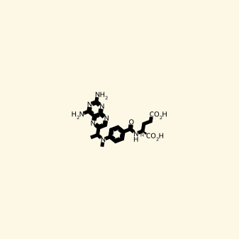 CC(c1cnc2nc(N)nc(N)c2n1)N(C)c1ccc(C(=O)N[C@@H](CCC(=O)O)C(=O)O)cc1